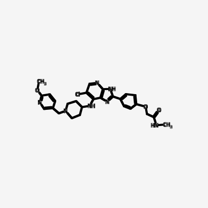 CNC(=O)COc1ccc(-c2nc3c(NC4CCN(Cc5ccc(OC)nc5)CC4)c(Cl)cnc3[nH]2)cc1